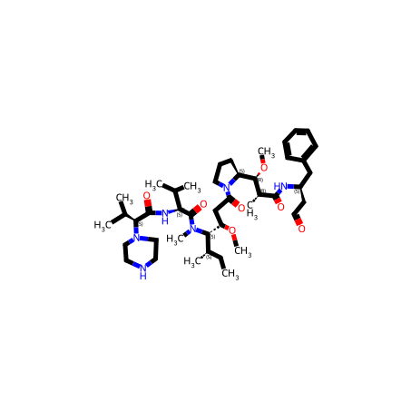 CC[C@H](C)[C@@H](C(CC(=O)N1CCC[C@H]1[C@H](OC)[C@@H](C)C(=O)N[C@H](CC=O)Cc1ccccc1)OC)N(C)C(=O)[C@@H](NC(=O)[C@H](C(C)C)N1CCNCC1)C(C)C